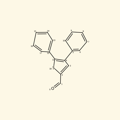 O=Cc1cc(-c2ccccc2)c(-c2ccccc2)s1